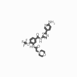 Nc1ccc(-c2nnc(NC(=O)c3ccc(OC(F)(F)F)c(NC(=O)CN4CCOCC4)c3)s2)cn1